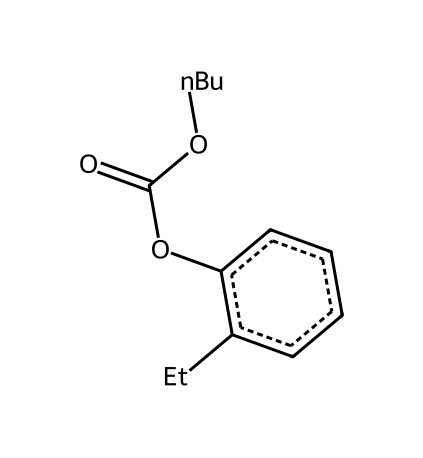 CCCCOC(=O)Oc1ccccc1CC